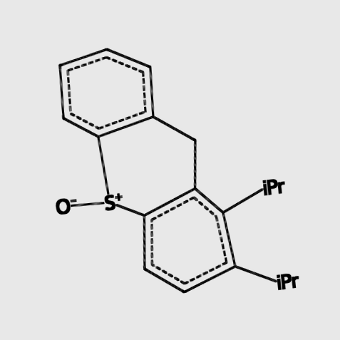 CC(C)c1ccc2c(c1C(C)C)Cc1ccccc1[S+]2[O-]